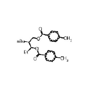 CCCCC(COC(=O)c1ccc(C)cc1)C(CC)OC(=O)c1ccc(C)cc1